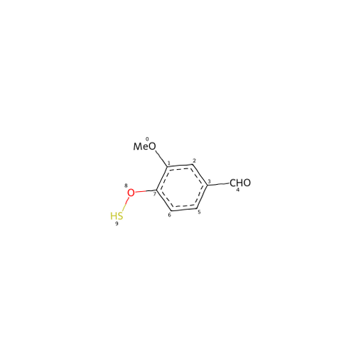 COc1cc(C=O)ccc1OS